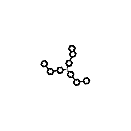 c1ccc(-c2cccc(-c3ccc(N(c4ccc(-c5cccc(-c6ccccc6)c5)cc4)c4ccc(-c5ccc6ccccc6c5)cc4)cc3)c2)cc1